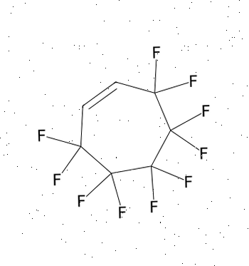 FC1(F)C=CC(F)(F)C(F)(F)C(F)(F)C1(F)F